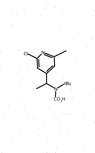 Cc1cc(C(C)N(C(=O)O)C(C)(C)C)cc(Cl)n1